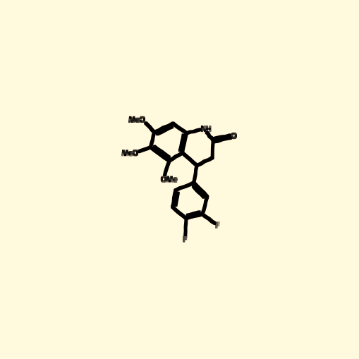 COc1cc2c(c(OC)c1OC)C(c1ccc(F)c(F)c1)CC(=O)N2